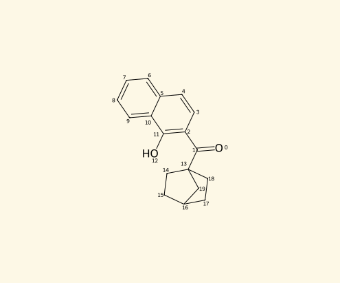 O=C(c1ccc2ccccc2c1O)C12CCC(CC1)C2